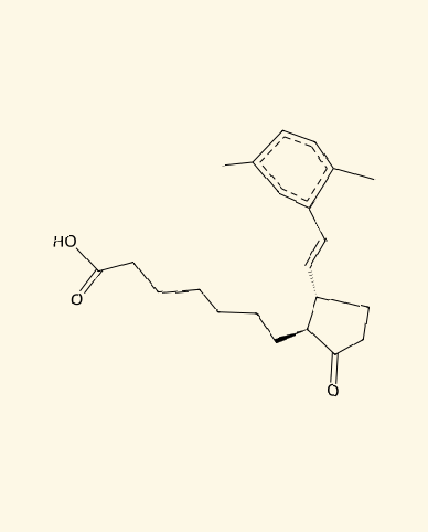 Cc1ccc(C)c(C=C[C@@H]2CCC(=O)[C@H]2CCCCCCC(=O)O)c1